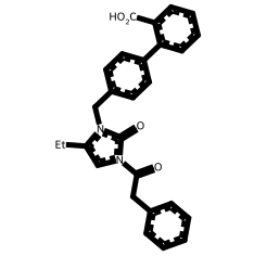 CCc1cn(C(=O)Cc2ccccc2)c(=O)n1Cc1ccc(-c2ccccc2C(=O)O)cc1